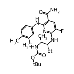 CC[C@@H](Nc1nc(Nc2ccc(C)c(C)c2)c(C(N)=O)cc1F)[C@H](C)NC(=O)OC(C)(C)C